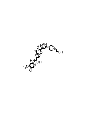 C[C@@H](NC(=O)c1cc(N2CCN(CCO)CC2)ncn1)c1ncc(C(O)Nc2cc(C(F)(F)F)c(Cl)cn2)s1